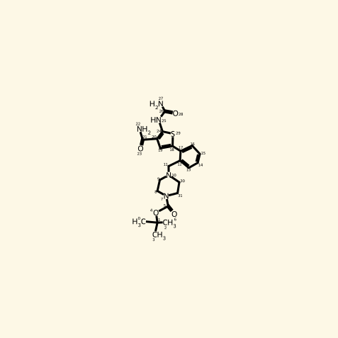 CC(C)(C)OC(=O)N1CCN(Cc2ccccc2-c2cc(C(N)=O)c(NC(N)=O)s2)CC1